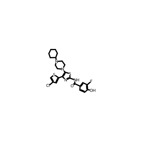 O=C(Nc1nc(-c2cc(Cl)cs2)c(N2CCN(C3CCCCC3)CC2)s1)c1ccc(O)c(F)c1